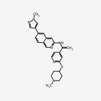 C=C(Nc1cc2cc(-c3cnn(C)c3)ccc2cn1)c1ccnc(SC2CCN(C)CC2)c1